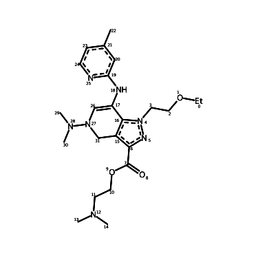 CCOCCn1nc(C(=O)OCCN(C)C)c2c1C(Nc1cc(C)ccn1)=CN(N(C)C)C2